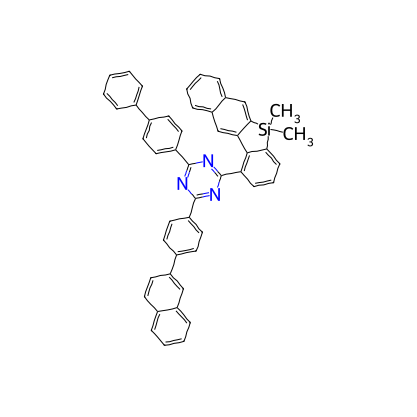 C[Si]1(C)c2cc3ccccc3cc2-c2c(-c3nc(-c4ccc(-c5ccccc5)cc4)nc(-c4ccc(-c5ccc6ccccc6c5)cc4)n3)cccc21